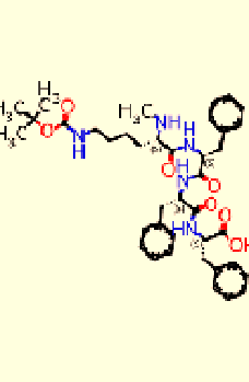 CN[C@@H](CCCCNC(=O)OC(C)(C)C)C(=O)N[C@@H](Cc1ccccc1)C(=O)N[C@@H](Cc1ccccc1)C(=O)N[C@@H](Cc1ccccc1)C(=O)O